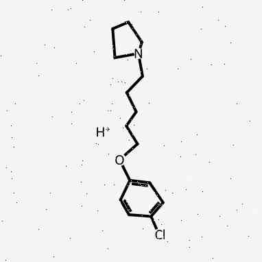 Clc1ccc(OCCCCCN2CCCC2)cc1.[H+]